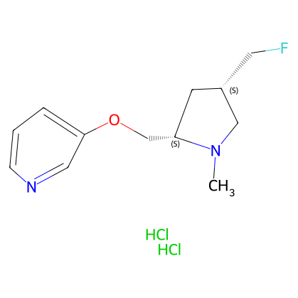 CN1C[C@@H](CF)C[C@H]1COc1cccnc1.Cl.Cl